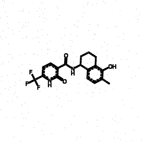 Cc1ccc2c(c1O)CCCC2NC(=O)c1ccc(C(F)(F)F)[nH]c1=O